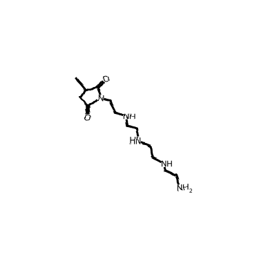 CC1CC(=O)N(CCNCCNCCNCCN)C1=O